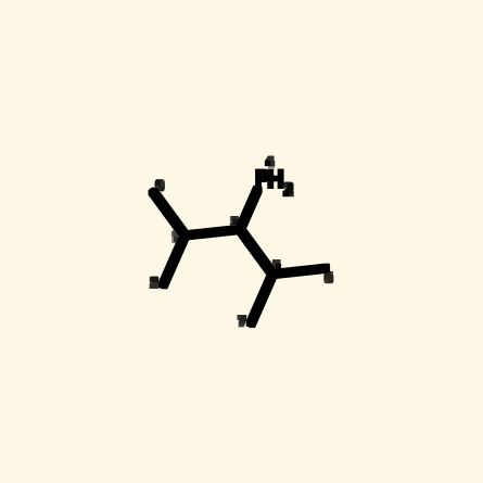 CC(C)C(P)C(C)C